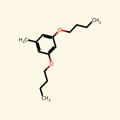 CCCCOc1[c]c(C)cc(OCCCC)c1